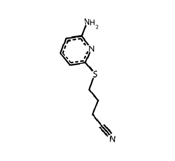 N#CCCCSc1cccc(N)n1